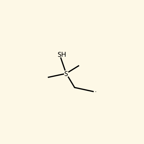 [CH2]CS(C)(C)S